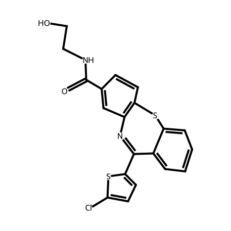 O=C(NCCO)c1ccc2c(c1)N=C(c1ccc(Cl)s1)c1ccccc1S2